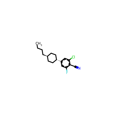 CCCC[C@H]1CC[C@H](c2cc(F)c(C#N)c(Cl)c2)CC1